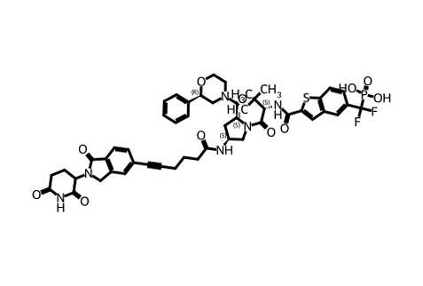 CC(C)(C)[C@H](NC(=O)c1cc2cc(C(F)(F)P(=O)(O)O)ccc2s1)C(=O)N1C[C@@H](NC(=O)CCCC#Cc2ccc3c(c2)CN(C2CCC(=O)NC2=O)C3=O)C[C@H]1C(=O)N1CCO[C@H](c2ccccc2)C1